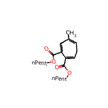 CCCCCOC(=O)C1=CCC=C(C)C=C1C(=O)OCCCCC